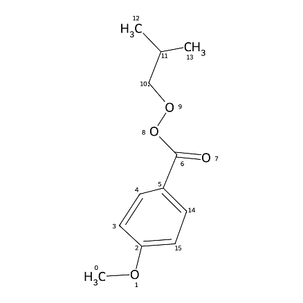 COc1ccc(C(=O)OO[CH]C(C)C)cc1